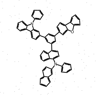 c1ccc(N(c2ccc3ccccc3c2)c2ccc(-c3cc(-c4ccc5c(c4)oc4ccccc45)cc(-c4ccc5c6ccccc6n(-c6ccccc6)c5c4)c3)c3ccccc23)cc1